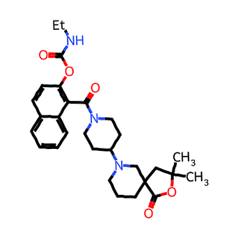 CCNC(=O)Oc1ccc2ccccc2c1C(=O)N1CCC(N2CCCC3(C2)CC(C)(C)OC3=O)CC1